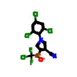 N#Cc1cn(-c2c(Cl)cc(Cl)cc2Cl)cc1[S+]([O-])C(F)(F)Cl